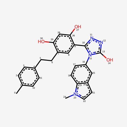 Cc1ccc(CCc2cc(-c3nnc(O)n3-c3ccc4c(ccn4C)c3)c(O)cc2O)cc1